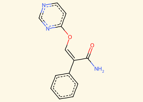 NC(=O)C(=COc1ccncn1)c1ccccc1